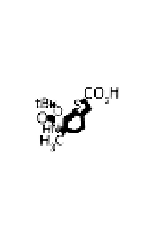 CC1(NC(=O)OC(C)(C)C)C=C2SC(C(=O)O)C=C2CC1